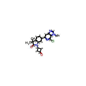 CC(C)n1cnc2cc(-c3ccc4c(c3)N(C3CC(=O)C3)C(=O)C4(C)C)nc(Cl)c21